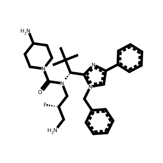 CC(C)(C)[C@H](c1nc(-c2ccccc2)cn1Cc1ccccc1)N(C[C@@H](F)CN)C(=O)N1CCC(N)CC1